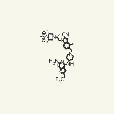 Cc1c(CN2CCC(Nc3nc(N)nc4sc(CC(F)(F)F)cc34)CC2)ccc2c1cc(C#N)n2C[C@@H](C)N1C[C@@H](C)N(S(C)(=O)=O)[C@H](C)C1